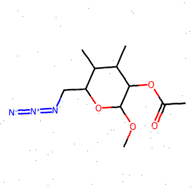 COC1OC(CN=[N+]=[N-])C(C)C(C)C1OC(C)=O